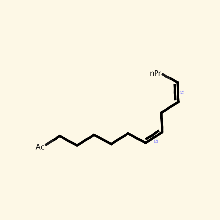 CCC/C=C\C/C=C\CCCCCC(C)=O